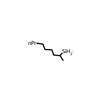 CCCCCCCC(C)[SiH2]